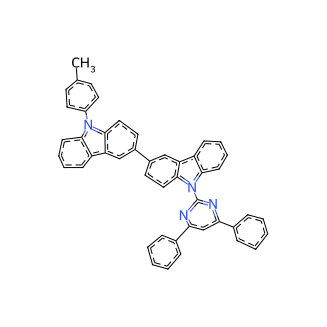 Cc1ccc(-n2c3ccccc3c3cc(-c4ccc5c(c4)c4ccccc4n5-c4nc(-c5ccccc5)cc(-c5ccccc5)n4)ccc32)cc1